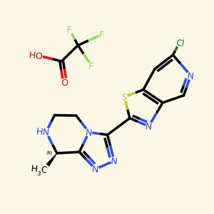 C[C@H]1NCCn2c(-c3nc4cnc(Cl)cc4s3)nnc21.O=C(O)C(F)(F)F